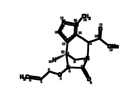 C=CCON1C(=O)N2C[C@@H]1c1cnn(C)c1C2C(=O)OC